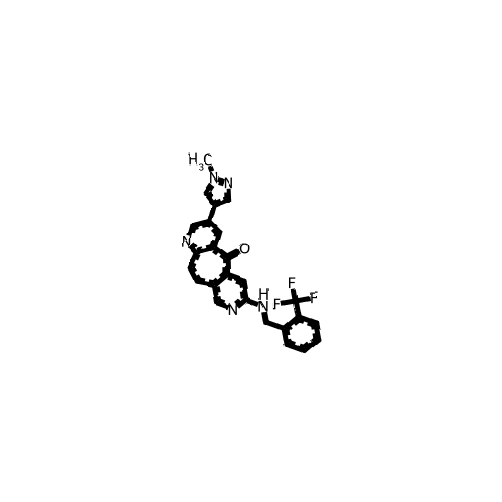 Cn1cc(-c2cnc3ccc4cnc(NCc5ccccc5C(F)(F)F)cc4c(=O)c3c2)cn1